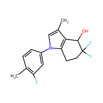 Cc1ccc(-n2cc(C)c3c2CCC(F)(F)C3O)cc1F